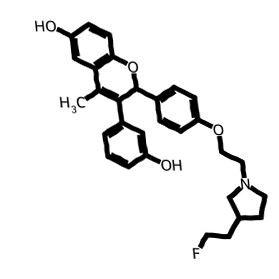 CC1=C(c2cccc(O)c2)C(c2ccc(OCCN3CCC(CCF)C3)cc2)Oc2ccc(O)cc21